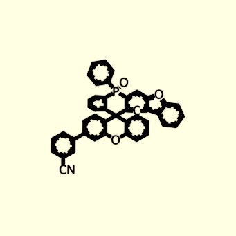 N#Cc1cccc(-c2ccc3c(c2)Oc2ccccc2C32c3ccccc3P(=O)(c3ccccc3)c3cc4oc5ccccc5c4cc32)c1